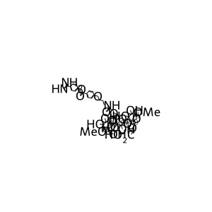 CO[C@@H]1O[C@@H](COCC(=O)O)[C@@H](O[C@@H]2OC(COCC(=O)NCCCOc3ccc(C(=O)Oc4ccc(C(=N)N)cc4)cc3)[C@@H](O[C@@H]3O[C@@H](CO)[C@@H](OC)C(O)C3O)[C@H](O)C2O)C(O)C1O